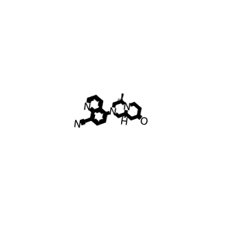 C[C@@H]1CN(c2ccc(C#N)c3ncccc23)C[C@@H]2CC(=O)CCN21